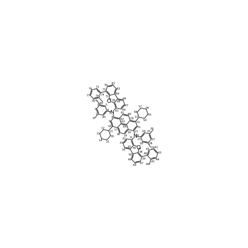 Cc1cc(C)cc(N(c2cc(C3CCCCC3)c3ccc4c(N(c5cc(C)cc(C)c5)c5cccc6c5oc5c(-c7ccccc7C)cccc56)cc(C5CCCCC5)c5ccc2c3c54)c2cccc3c2oc2c(-c4ccccc4C)cccc23)c1